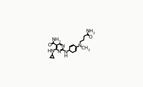 CN(CCCC(N)=O)C1=CCC(Nc2ncc(C(N)=O)c(NC3CC3)n2)C=C1